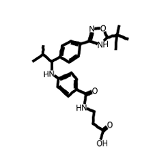 CC(C)C(Nc1ccc(C(=O)NCCC(=O)O)cc1)c1ccc(C2=NOC(C(C)(C)C)N2)cc1